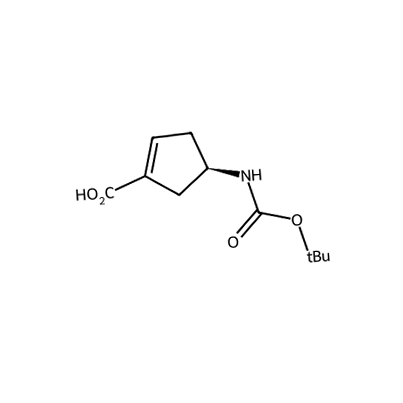 CC(C)(C)OC(=O)N[C@@H]1CC=C(C(=O)O)C1